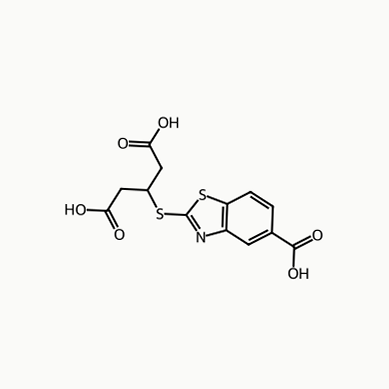 O=C(O)CC(CC(=O)O)Sc1nc2cc(C(=O)O)ccc2s1